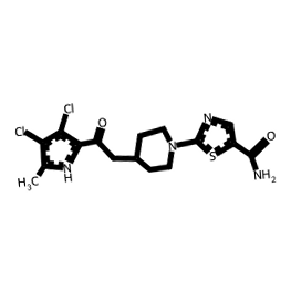 Cc1[nH]c(C(=O)CC2CCN(c3ncc(C(N)=O)s3)CC2)c(Cl)c1Cl